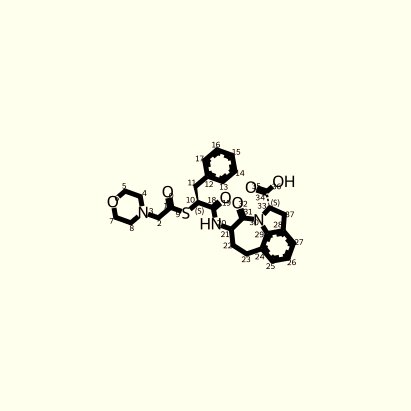 O=C(CN1CCOCC1)S[C@@H](Cc1ccccc1)C(=O)NC1CCc2cccc3c2N(C1=O)[C@H](C(=O)O)C3